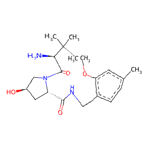 COc1cc(C)ccc1CNC(=O)[C@@H]1C[C@@H](O)CN1C(=O)[C@@H](N)C(C)(C)C